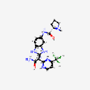 CN1CCC[C@H]1C(=O)Nc1ccc2c(c1)N/C(=C(/C(N)=O)c1nccc(C(F)(F)F)n1)N2